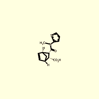 CN(C(=O)[C@@H]1[C@H](C(=O)O)[C@@H]2C=C[C@@H]1C2)c1cccs1